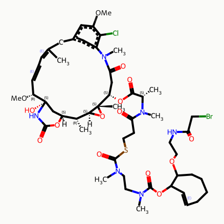 COc1cc2cc(c1Cl)N(C)C(=O)C[C@H](OC(=O)[C@H](C)N(C)C(=O)CCSC(=O)N(C)CCN(C)C(=O)OC1/C=C/CCCCC1OCCNC(=O)CBr)[C@]1(C)O[C@H]1[C@H](C)[C@@H]1C[C@@](O)(NC(=O)O1)[C@H](OC)/C=C/C=C(\C)C2